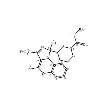 CCOC(=O)C1=N[N+](S)(C2CCCN(C(=O)OC(C)(C)C)C2)C2C1=C(S)Oc1ccccc12